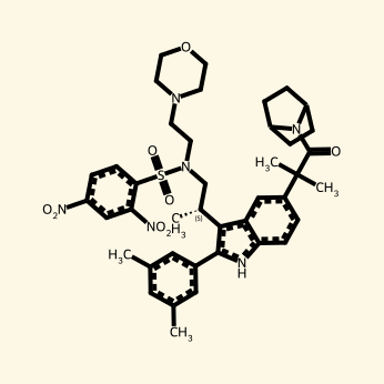 Cc1cc(C)cc(-c2[nH]c3ccc(C(C)(C)C(=O)N4C5CCC4CC5)cc3c2[C@H](C)CN(CCN2CCOCC2)S(=O)(=O)c2ccc([N+](=O)[O-])cc2[N+](=O)[O-])c1